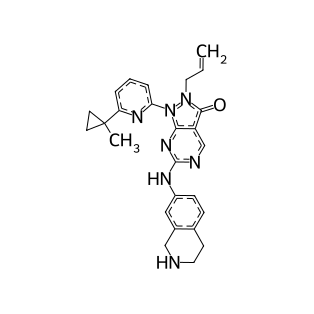 C=CCn1c(=O)c2cnc(Nc3ccc4c(c3)CNCC4)nc2n1-c1cccc(C2(C)CC2)n1